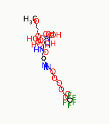 COCCCCCCO[C@]1(C(=O)O)C[C@H](O)[C@@H](NC(=O)CO)[C@H]([C@H](O)[C@H](O)CNC(=O)Cc2ccc(-c3cn(CCOCCOCCOCCOCCC(=O)Oc4c(F)c(F)c(F)c(F)c4F)nn3)cc2)O1